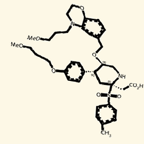 COCCCOc1ccc([C@H]2C[C@](CC(=O)O)(S(=O)(=O)c3ccc(C)cc3)NC[C@@H]2OCc2ccc3c(c2)N(CCCOC)CCO3)cc1